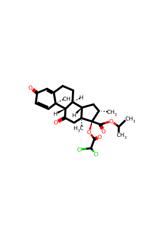 CC(C)OC(=O)[C@@]1(OC(=O)C(Cl)Cl)[C@@H](C)C[C@H]2[C@@H]3CCC4=CC(=O)C=C[C@]4(C)[C@H]3C(=O)C[C@@]21C